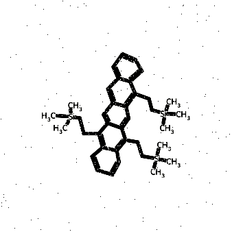 C[Si](C)(C)CCc1c2ccccc2cc2cc3c(CC[Si](C)(C)C)c4ccccc4c(CC[Si](C)(C)C)c3cc12